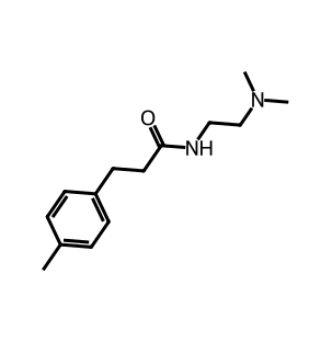 Cc1ccc(CCC(=O)NCCN(C)C)cc1